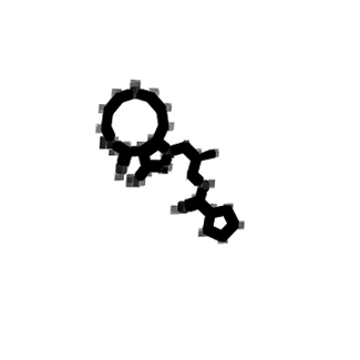 CCc1nn(C[C@@H](C)COC(=O)C2CCCC2)c2c1C(=O)NCCCOCCC2